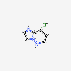 Clc1ccnn2ccnc12